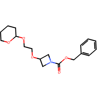 O=C(OCc1ccccc1)N1CC(OCCOC2CCCCO2)C1